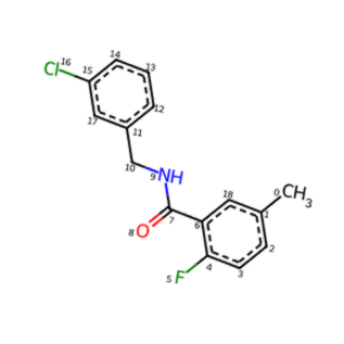 Cc1ccc(F)c(C(=O)NCc2cccc(Cl)c2)c1